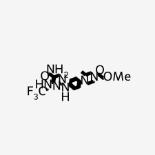 COCC(=O)N1CCN(c2ccc(Nc3ncc(C(N)=O)c(NCC(F)(F)F)n3)cc2)C(C)C1